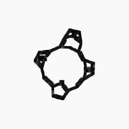 C1=CC2=NC1=Cc1ccc([nH]1)C1=C3C=CC(=N3)C(=c3ccc([nH]3)=C2)C1